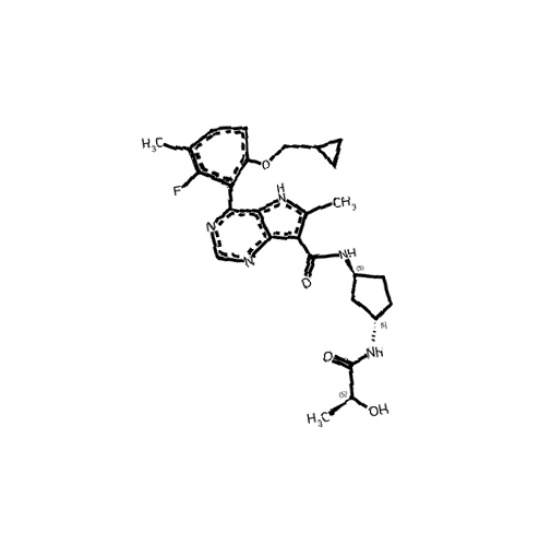 Cc1ccc(OCC2CC2)c(-c2ncnc3c(C(=O)N[C@H]4CC[C@H](NC(=O)[C@H](C)O)C4)c(C)[nH]c23)c1F